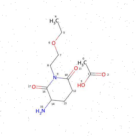 CC(=O)O.CCOCCN1C(=O)CCC(N)C1=O